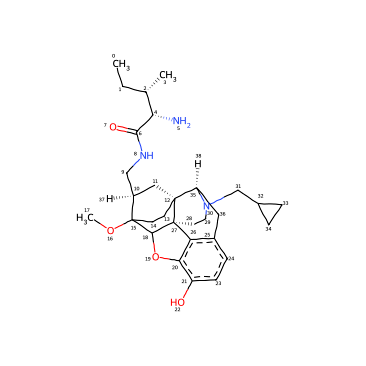 CC[C@H](C)[C@H](N)C(=O)NC[C@H]1C[C@@]23CCC1(OC)C1Oc4c(O)ccc5c4[C@@]12CCN(CC1CC1)[C@@H]3C5